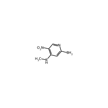 Bc1cc(BC)c([N+](=O)[O-])cn1